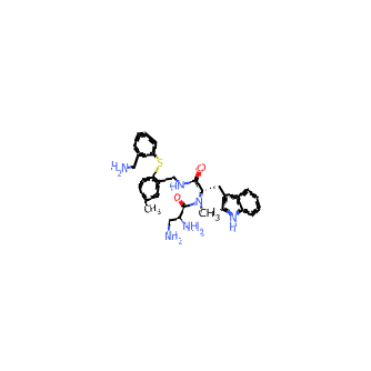 Cc1ccc(Sc2ccccc2CN)c(CNC(=O)[C@H](Cc2c[nH]c3ccccc23)N(C)C(=O)[C@@H](N)CN)c1